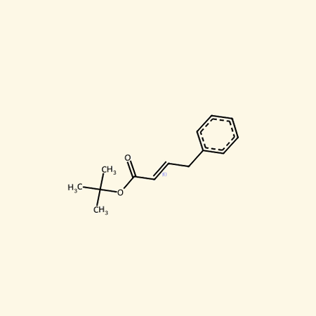 CC(C)(C)OC(=O)/C=C/Cc1ccccc1